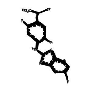 CCC(C(=O)O)c1cc(Cl)c(Nc2nc3cc(F)ccc3s2)cc1F